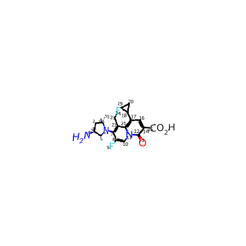 C[C@H]1C[C@H](N)CN1c1c(F)cn2c(=O)c(C(=O)O)cc(C3CC3)c2c1CF